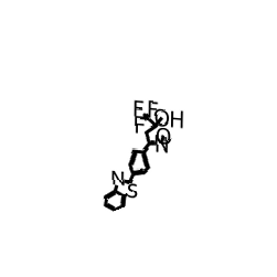 OC1(C(F)(F)F)CC(c2ccc(-c3nc4ccccc4s3)cc2)=NO1